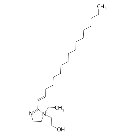 CCCCCCCCCCCCCCC/C=C/C1=NCC[N+]1(CC)CCO